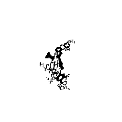 COC(=O)c1cc(OC)c(N(CC#Cc2cc3c(N[C@@H]4CCN(C)C[C@@H]4F)cccc3n2CC2CC2)C(=O)OC(C)(C)C)cc1F